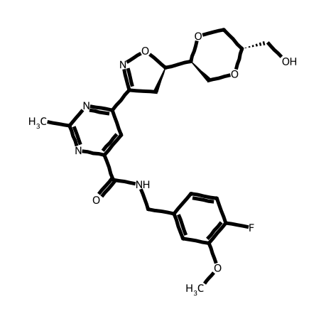 COc1cc(CNC(=O)c2cc(C3=NO[C@@H]([C@@H]4CO[C@@H](CO)CO4)C3)nc(C)n2)ccc1F